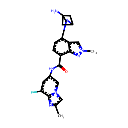 Cc1cn2cc(NC(=O)c3ccc(N4CC5(N)CC4C5)c4cn(C)nc34)cc(F)c2n1